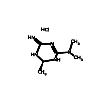 C[C@H]1NC(=N)N=C(N(C)C)N1.Cl